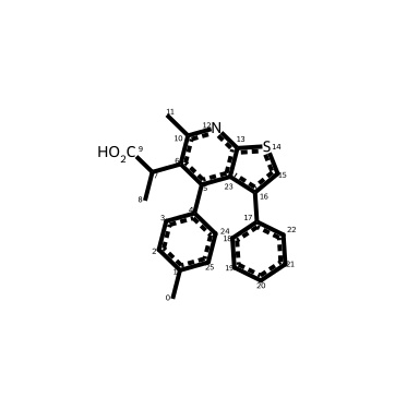 Cc1ccc(-c2c(C(C)C(=O)O)c(C)nc3scc(-c4ccccc4)c23)cc1